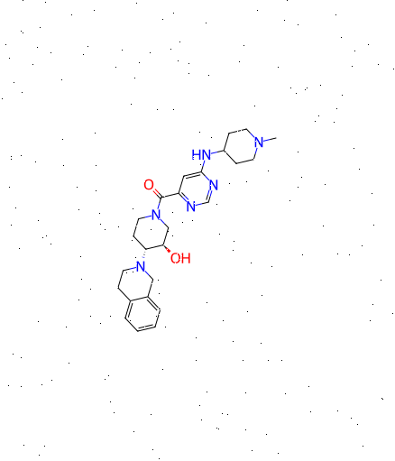 CN1CCC(Nc2cc(C(=O)N3CC[C@@H](N4CCc5ccccc5C4)[C@H](O)C3)ncn2)CC1